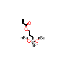 C=CC(=O)OCCC[Si](CCC)(OCCCC)OCCCC